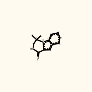 CC1(C)CNC(=O)c2cc3ccccc3n21